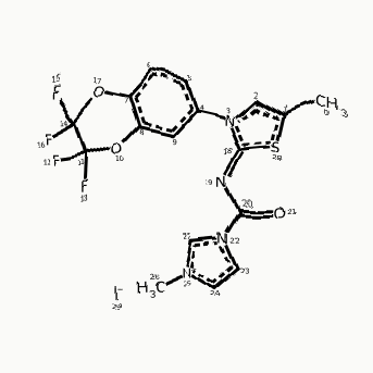 Cc1cn(-c2ccc3c(c2)OC(F)(F)C(F)(F)O3)c(=NC(=O)n2cc[n+](C)c2)s1.[I-]